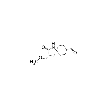 COC[C@H]1C[C@]2(CC[C@@H](C=O)CC2)NC1=O